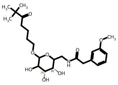 COc1cccc(CC(=O)NCC2OC(OCCCCC(=O)C(C)(C)C)C(O)[C@@H](O)[C@H]2O)c1